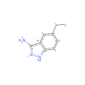 CCc1ccc2[nH]nc(N)c2c1